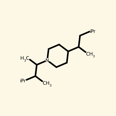 CC(C)CC(C)C1CCN(C(C)C(C)C(C)C)CC1